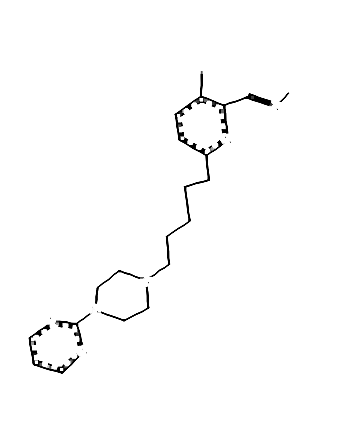 ON=Cc1nc(CCCCCN2CCN(c3ncccn3)CC2)ccc1O